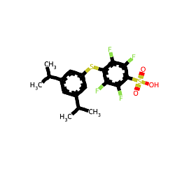 CC(C)c1cc(Sc2c(F)c(F)c(S(=O)(=O)O)c(F)c2F)cc(C(C)C)c1